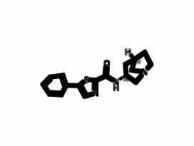 O=C(N[C@@H]1C[C@@H]2CCN(C2)C1)c1ncc(-c2ccccc2)s1